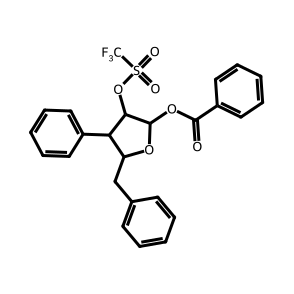 O=C(OC1OC(Cc2ccccc2)C(c2ccccc2)C1OS(=O)(=O)C(F)(F)F)c1ccccc1